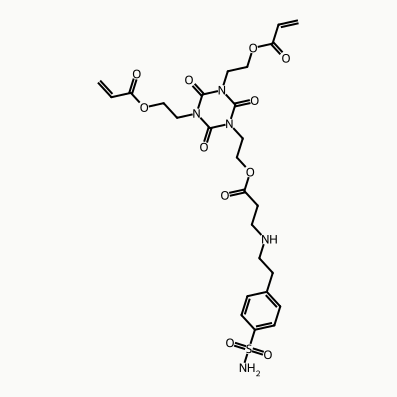 C=CC(=O)OCCn1c(=O)n(CCOC(=O)C=C)c(=O)n(CCOC(=O)CCNCCc2ccc(S(N)(=O)=O)cc2)c1=O